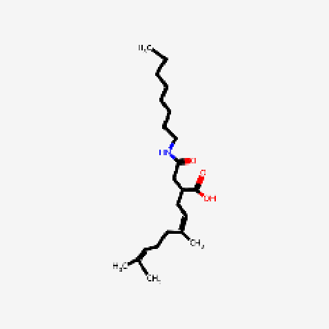 CCCCCCCCNC(=O)CC(CC=C(C)CCC=C(C)C)C(=O)O